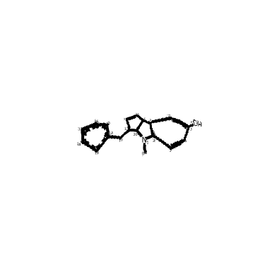 CN1C2C=CC(O)=CC2C2C=CC(Cc3ccccc3)C21